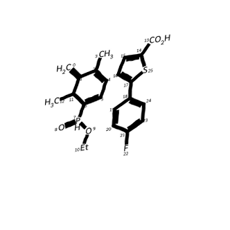 C=C1C(C)=CC=C([PH](=O)OCC)C1C.O=C(O)c1ccc(-c2ccc(F)cc2)s1